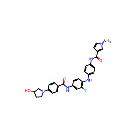 Cn1ccc(C(=O)Nc2ccc(Nc3ccc(NC(=O)c4ccc(N5CCC(O)C5)cc4)cc3F)cc2)c1